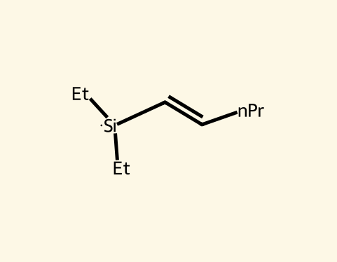 CCC/C=C/[Si](CC)CC